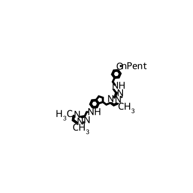 CCCCCOc1ccc(CNCc2ncn3c(C)cc(CC4CCc5ccc(NCc6ncn7c(C)cc(C)nc67)cc54)nc23)cc1